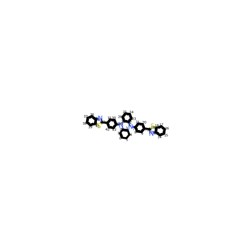 C1=CC2=C(CC1)N(c1ccc(-c3nc4ccccc4s3)cc1)c1ccccc1N2c1ccc(-c2nc3ccccc3s2)cc1